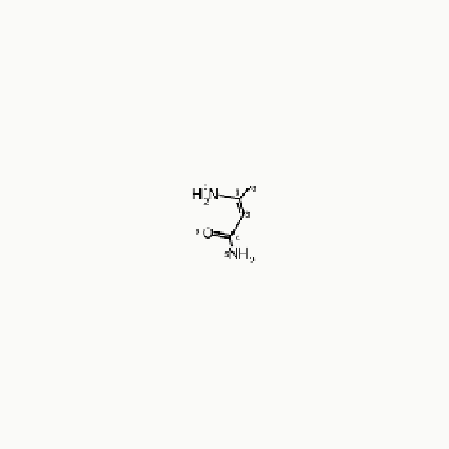 C/C(N)=C/C(N)=O